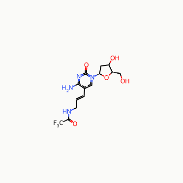 Nc1nc(=O)n([C@H]2CC(O)[C@@H](CO)O2)cc1/C=C/CNC(=O)C(F)(F)F